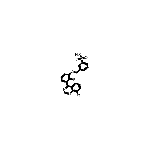 CS(=O)(=O)c1cccc(COc2cccc(-c3ncnc4c(Cl)cccc34)c2F)c1